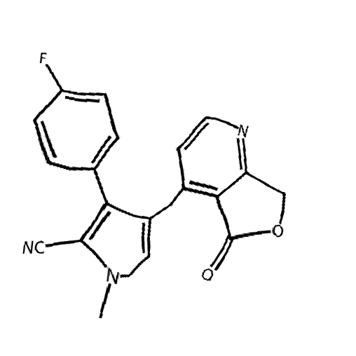 Cn1cc(-c2ccnc3c2C(=O)OC3)c(-c2ccc(F)cc2)c1C#N